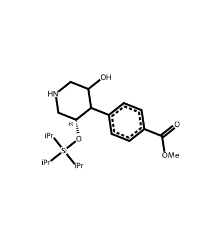 COC(=O)c1ccc(C2C(O)CNC[C@H]2O[Si](C(C)C)(C(C)C)C(C)C)cc1